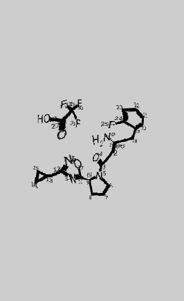 N[C@@H](CC(=O)N1CCC[C@H]1c1nc(C2CC2)no1)Cc1ccccc1F.O=C(O)C(F)(F)F